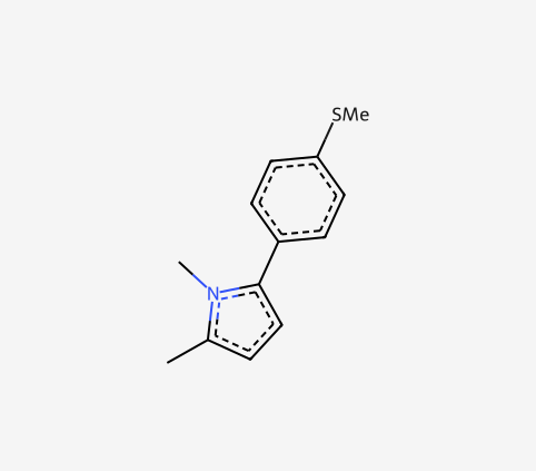 CSc1ccc(-c2ccc(C)n2C)cc1